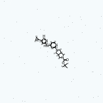 CC(C)(C)OC(=O)N1CC2CN(c3nccc(Nc4cc(C5CC5)[nH]n4)n3)CC2C1